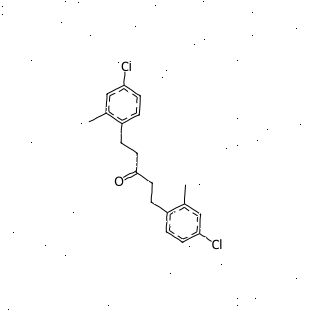 Cc1cc(Cl)ccc1CCC(=O)CCc1ccc(Cl)cc1C